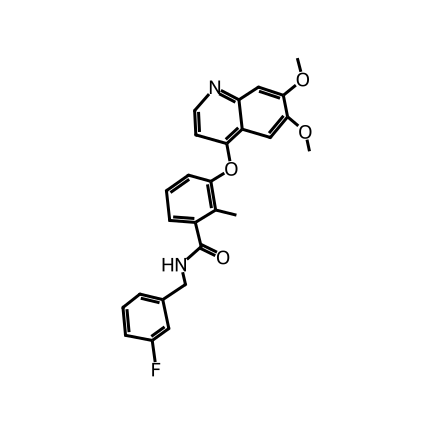 COc1cc2nccc(Oc3cccc(C(=O)NCc4cccc(F)c4)c3C)c2cc1OC